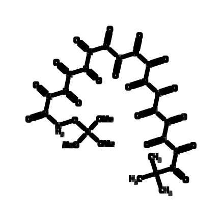 CO[Si](OC)(OC)O[SiH2][Si](=O)[Si](=O)[Si](=O)[Si](=O)[Si](=O)[Si](=O)[Si](=O)[Si](=O)[Si](=O)[Si](=O)[Si](=O)[Si](=O)[Si](=O)[Si](=O)[Si](=O)[Si](=O)[Si](=O)[Si](C)(C)C